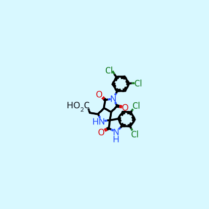 O=C(O)CC1NC2(C(=O)Nc3c(Cl)cc(Cl)cc32)C2C(=O)N(c3cc(Cl)cc(Cl)c3)C(=O)C12